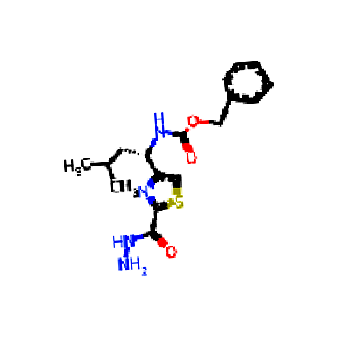 CC(C)C[C@H](NC(=O)OCc1ccccc1)c1csc(C(=O)NN)n1